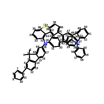 CC1(C)c2cc(-c3ccccc3)ccc2-c2ccc(N(c3ccc(-c4ccccc4)cc3)c3cccc4sc5ccc(-c6ccc7c(c6)c6ccccc6n7-c6ccccc6)cc5c34)cc21